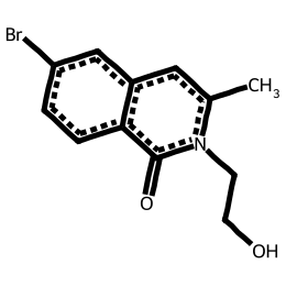 Cc1cc2cc(Br)ccc2c(=O)n1CCO